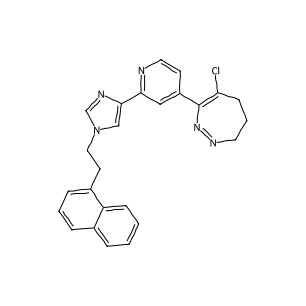 ClC1=C(c2ccnc(-c3cn(CCc4cccc5ccccc45)cn3)c2)N=NCCC1